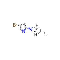 [CH2]CC1C[C@@H]2CN(c3ccc(Br)cn3)C[C@@H]2C1